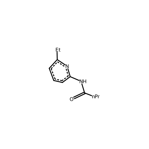 CCCC(=O)Nc1cccc(CC)n1